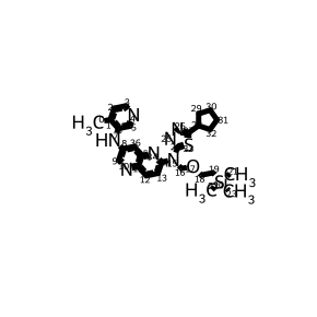 Cc1ccncc1Nc1cnc2ccc(N(COCC[Si](C)(C)C)c3nnc(C4CCCC4)s3)nc2c1